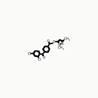 Cc1cc(OCC(=O)c2ccc(C(=O)c3ccc(Cl)cc3Cl)cc2)n(C)n1